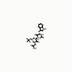 CC(=O)N[C@@H](Cc1c[nH]c2ccccc12)C(=O)N[C@H](CSSC(C)(C)C)C(=O)N(C)CC(=O)O